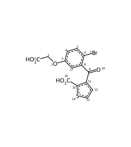 O=C(O)COc1ccc(Br)c(C(=O)c2ccsc2C(=O)O)c1